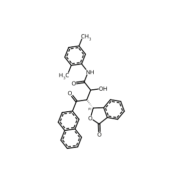 Cc1ccc(C)c(NC(=O)C(O)C(C(=O)c2ccc3ccccc3c2)[C@H]2OC(=O)c3ccccc32)c1